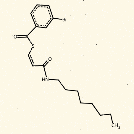 CCCCCCCCNC(=O)/C=C\SC(=O)c1cccc(Br)c1